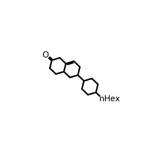 CCCCCCC1CCC(C2CC=C3CC(=O)CCC3C2)CC1